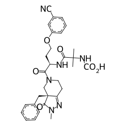 CN1N=C2CCN(C(=O)[C@@H](CCOc3cccc(C#N)c3)NC(=O)C(C)(C)NC(=O)O)C[C@@]2(Cc2ccccc2)C1=O